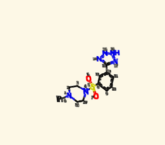 CC(C)N1CCN(S(=O)(=O)c2cccc(-c3nn[nH]n3)c2)CC1